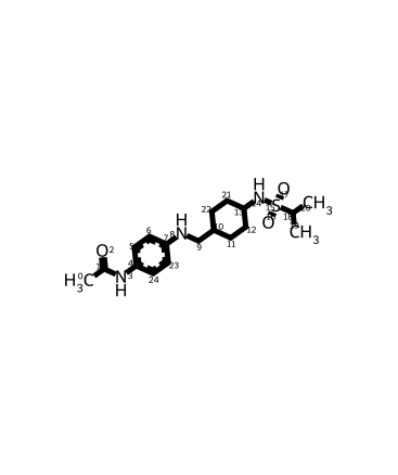 CC(=O)Nc1ccc(NCC2CCC(NS(=O)(=O)C(C)C)CC2)cc1